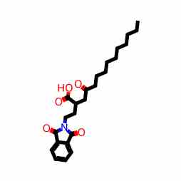 CCCCCCCCCCC(=O)CC(CCN1C(=O)c2ccccc2C1=O)C(=O)O